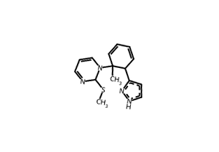 CSC1N=CC=CN1C1(C)C=CC=CC1c1cc[nH]n1